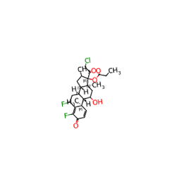 CCC(=O)O[C@]1(C(=O)CCl)C(C)C[C@H]2[C@@H]3CC(F)C4=C(F)C(=O)C=C[C@]4(C)[C@H]3C(O)C[C@@]21C